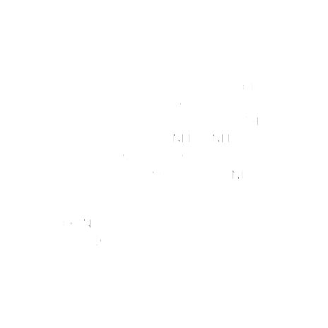 CC(C)CC(NC(=O)C1CCCN1)C(=O)NCC(=O)Oc1ccc([N+](=O)[O-])cc1